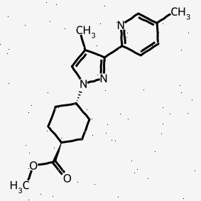 COC(=O)[C@H]1CC[C@H](n2cc(C)c(-c3ccc(C)cn3)n2)CC1